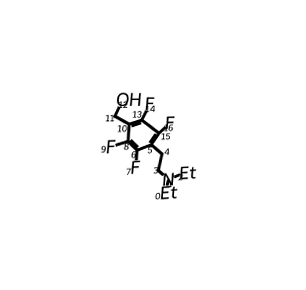 CCN(CC)CCc1c(F)c(F)c(CO)c(F)c1F